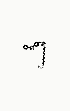 CCCCCCCCCCCC[n+]1ccn(Cc2ccc(-c3ncc(-c4ccccc4)o3)cc2)c1